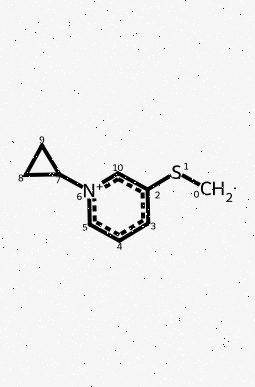 [CH2]Sc1ccc[n+](C2CC2)c1